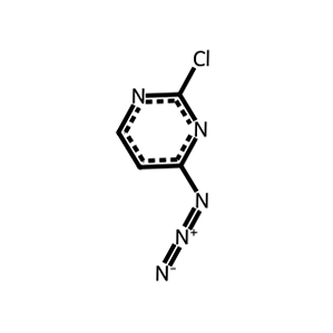 [N-]=[N+]=Nc1ccnc(Cl)n1